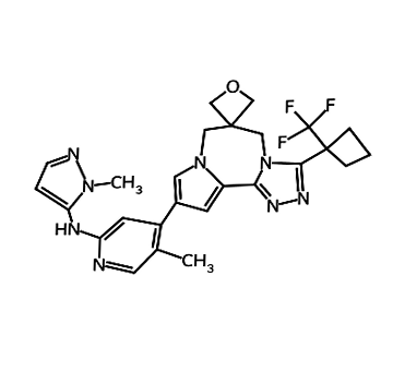 Cc1cnc(Nc2ccnn2C)cc1-c1cc2n(c1)CC1(COC1)Cn1c-2nnc1C1(C(F)(F)F)CCC1